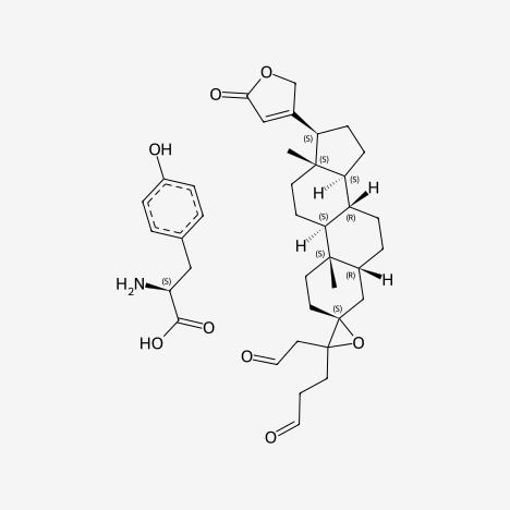 C[C@]12CC[C@@]3(C[C@H]1CC[C@@H]1[C@@H]2CC[C@]2(C)[C@@H](C4=CC(=O)OC4)CC[C@@H]12)OC3(CC=O)CCC=O.N[C@@H](Cc1ccc(O)cc1)C(=O)O